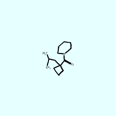 CC(C)CC1(C(=O)N2CCCCC2)CCC1